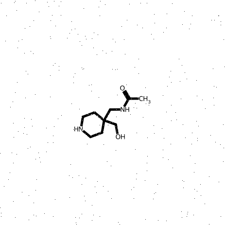 CC(=O)NCC1(CO)CCNCC1